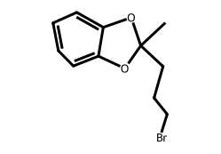 CC1(CCCBr)Oc2ccccc2O1